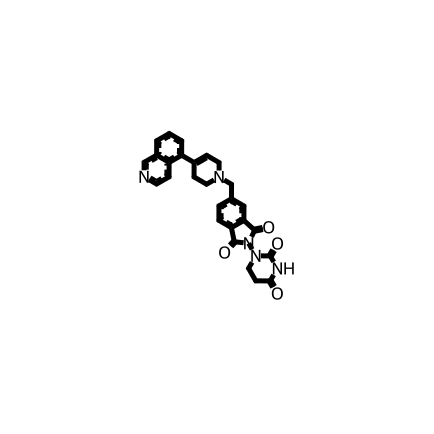 O=C1CCN(N2C(=O)c3ccc(CN4CC=C(c5cccc6cnccc56)CC4)cc3C2=O)C(=O)N1